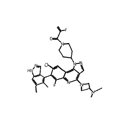 C=C(F)C(=O)N1CCC(n2ncc3c(N4CC(N(C)C)C4)nc4c(F)c(-c5c(C)c(C)cc6[nH]ncc56)c(Cl)cc4c32)CC1